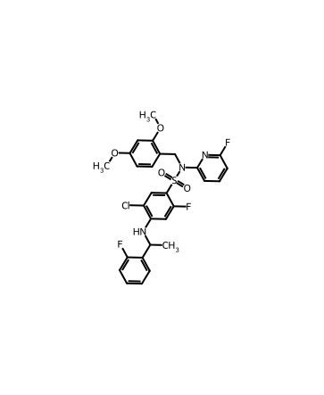 COc1ccc(CN(c2cccc(F)n2)S(=O)(=O)c2cc(Cl)c(NC(C)c3ccccc3F)cc2F)c(OC)c1